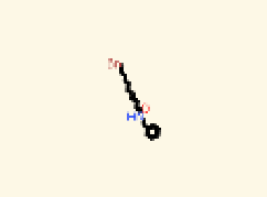 O=C(CCCCCCCCCCBr)NC=Cc1ccccc1